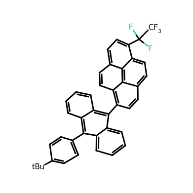 CC(C)(C)c1ccc(-c2c3ccccc3c(-c3ccc4ccc5c(C(F)(F)C(F)(F)F)ccc6ccc3c4c65)c3ccccc23)cc1